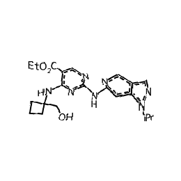 CCOC(=O)c1cnc(Nc2cc3c(cn2)cnn3C(C)C)nc1NC1(CO)CCC1